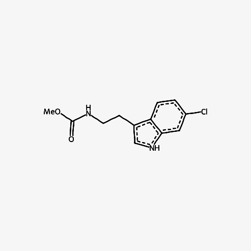 COC(=O)NCCc1c[nH]c2cc(Cl)ccc12